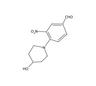 O=Cc1ccc(N2CCC(O)CC2)c([N+](=O)[O-])c1